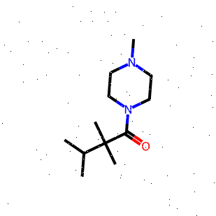 CC(C)C(C)(C)C(=O)N1CCN(C)CC1